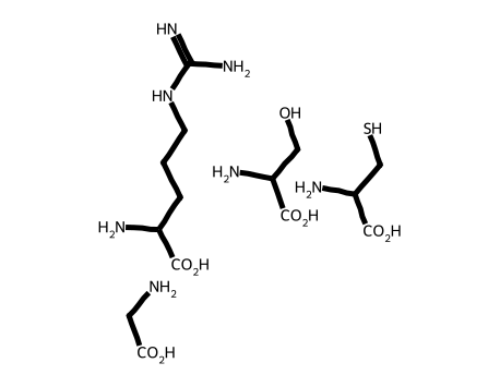 N=C(N)NCCCC(N)C(=O)O.NC(CO)C(=O)O.NC(CS)C(=O)O.NCC(=O)O